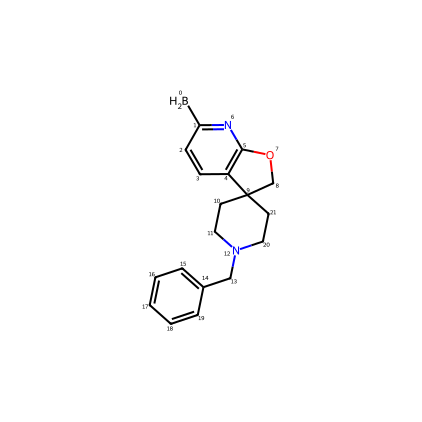 Bc1ccc2c(n1)OCC21CCN(Cc2ccccc2)CC1